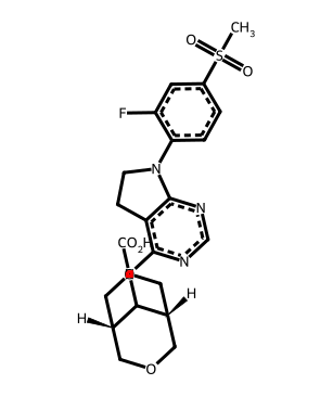 CS(=O)(=O)c1ccc(N2CCc3c(OC4[C@@H]5COC[C@H]4CN(C(=O)O)C5)ncnc32)c(F)c1